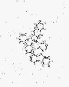 c1cc(C2c3ccccc3-c3ccccc32)cc(-n2c3cc4ccccc4cc3c3c4ccccc4c4ccccc4c32)c1